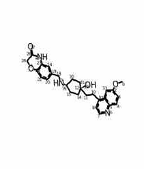 COc1ccc2nccc(CC[C@]3(O)CC[C@@H](NCc4ccc5c(c4)NC(=O)CO5)CC3)c2c1